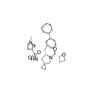 Cn1ccc(S(=O)(=O)N[C@@H]2[C@H](Cc3cccc(-c4ccccc4)c3)N(C(=O)[C@H]3CCO3)CC23CC3)n1